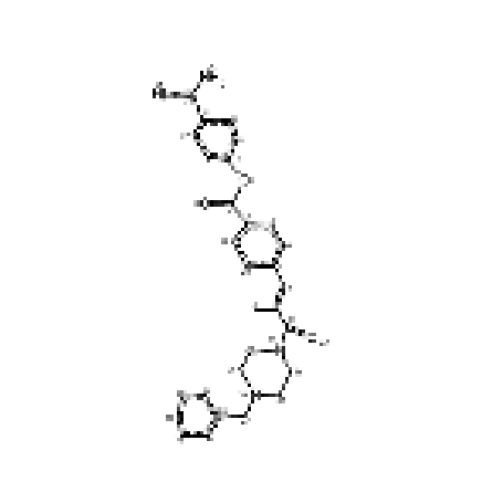 C/C(=C\c1ccc(C(=O)Oc2ccc(C(=N)N)cc2)cc1)C(=O)N1CCN(Cc2ccccc2)CC1